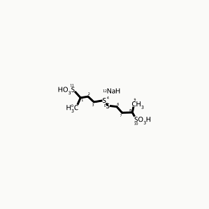 CC(CCSSCCC(C)S(=O)(=O)O)S(=O)(=O)O.[NaH]